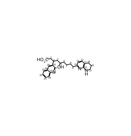 O=C(O)CC(CC(O)CCCCc1ccc2c(n1)NCCC2)c1cnc2ccccc2c1